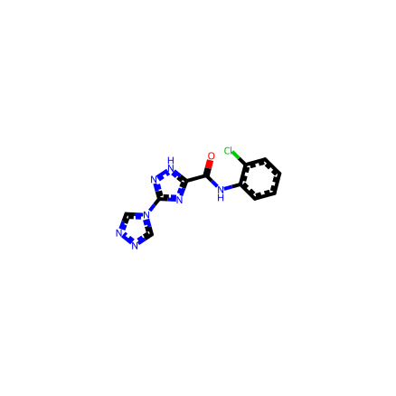 O=C(Nc1ccccc1Cl)c1nc(-n2cnnc2)n[nH]1